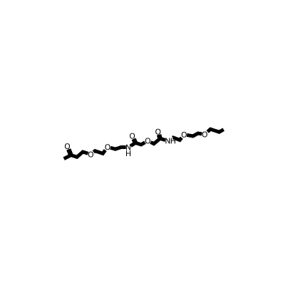 CCCOCCOCCNC(=O)COCC(=O)NCCOCCOCCC(C)=O